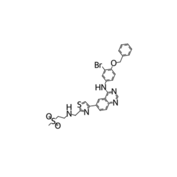 CS(=O)(=O)CCNCc1nc(-c2ccc3ncnc(Nc4ccc(OCc5ccccc5)c(Br)c4)c3c2)cs1